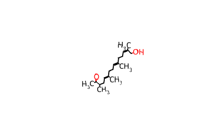 CC(=O)C(C)C/C=C(\C)CC/C=C(\C)CCC=C(C)CO